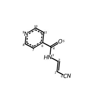 N#CC=[C]NC(=O)c1ccncc1